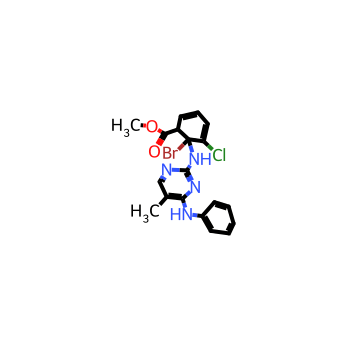 COC(=O)C1C=CC=C(Cl)C1(Br)Nc1ncc(C)c(Nc2ccccc2)n1